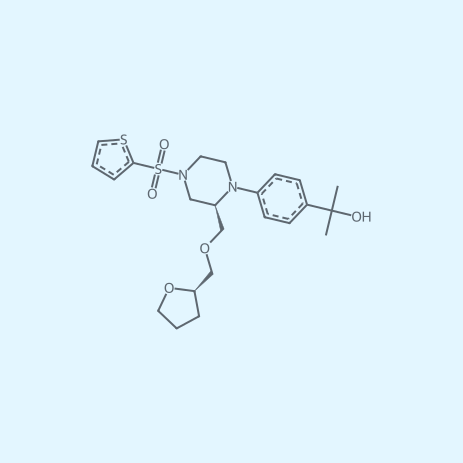 CC(C)(O)c1ccc(N2CCN(S(=O)(=O)c3cccs3)C[C@@H]2COC[C@H]2CCCO2)cc1